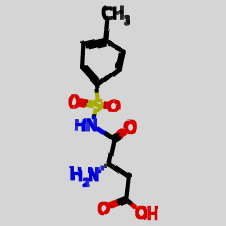 Cc1ccc(S(=O)(=O)NC(=O)[C@@H](N)CC(=O)O)cc1